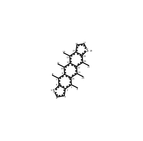 Cc1c2ccsc2c(C)c2c(C)c3c(C)c4ccsc4c(C)c3c(C)c12